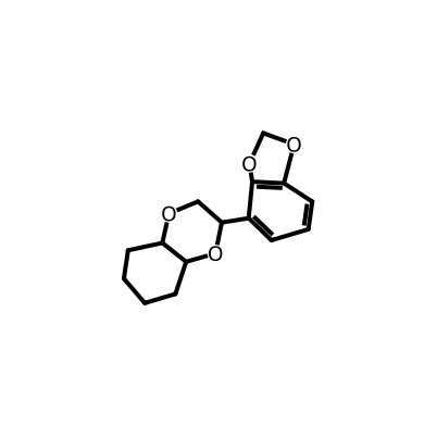 c1cc2c(c(C3COC4CCCCC4O3)c1)OCO2